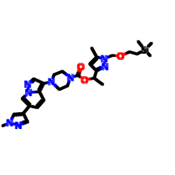 Cc1cc(C(C)OC(=O)N2CCN(c3cnn4cc(-c5cnn(C)c5)ccc34)CC2)nn1COCC[Si](C)(C)C